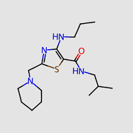 CCCNc1nc(CN2CCCCC2)sc1C(=O)NCC(C)C